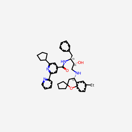 CCc1ccc2c(c1)[C@@H](NC[C@@H](O)[C@H](Cc1ccccc1)NC(=O)c1cc(-c3ccccn3)nc(C3CCCC3)c1)CC1(CCCC1)O2